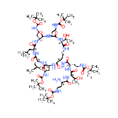 CC(C)C[C@@H]1NC(=O)[C@@H](CC(C)C)NC(=O)[C@H](CCNC(=O)OC(C)(C)C)NC(=O)[C@@H](NC(=O)[C@H](CCNC(=O)OC(C)(C)C)NC(=O)[C@@H](NC(=O)[C@@H](N)CCNC(=O)OC(C)(C)C)C(C)O)CCNC(=O)[C@H](C(C)O)NC(=O)[C@H](CCNC(=O)OC(C)(C)C)NC(=O)[C@H](CCNC(=O)OC(C)(C)C)NC1=O